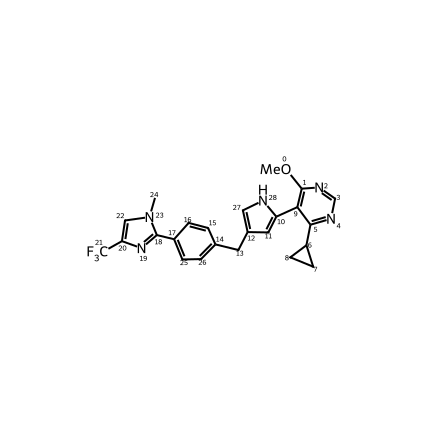 COc1ncnc(C2CC2)c1-c1cc(Cc2ccc(-c3nc(C(F)(F)F)cn3C)cc2)c[nH]1